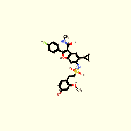 CNC(=O)c1c(-c2ccc(F)cc2)oc2cc(NS(=O)(=O)CCc3ccc(Br)cc3OC)c(C3CC3)cc12